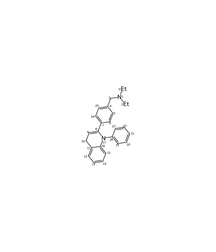 CCN(CC)Cc1ccc(C2=CCc3ccccc3N2c2ccccc2)cc1